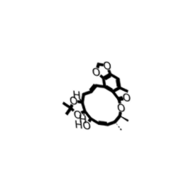 Cc1cc2c(c3c1C(=O)O[C@@H](C)[C@H](C)/C=C\C(O)[C@H]1OC(C)(C)O[C@H]1C/C=C/3)OCO2